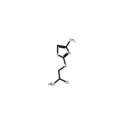 CCCCC(CC)CSc1nc(C)cs1